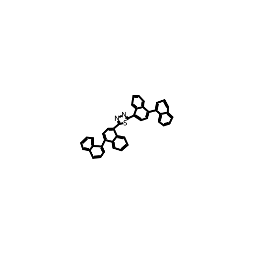 c1ccc2c(-c3ccc(-c4nnc(-c5ccc(-c6cccc7ccccc67)c6ccccc56)s4)c4ccccc34)cccc2c1